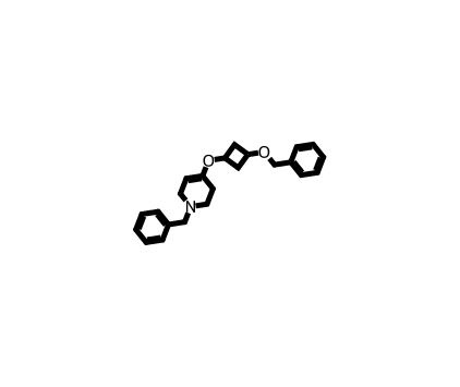 C1=C(OC2CC(OCc3ccccc3)C2)CCN(Cc2ccccc2)C1